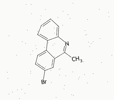 Cc1nc2ccccc2c2ccc(Br)cc12